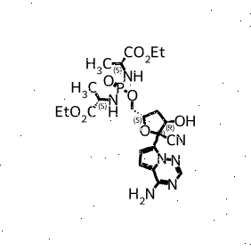 CCOC(=O)[C@H](C)NP(=O)(N[C@@H](C)C(=O)OCC)OC[C@@H]1C[C@@H](O)[C@](C#N)(c2ccc3c(N)ncnn23)O1